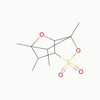 CC1C2C3OC1(C)C(C)C3(C)OS2(=O)=O